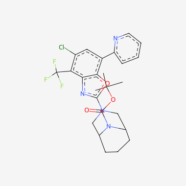 CC(C)(C)OC(=O)N1C2CCCC1CN(c1nc3c(C(F)(F)F)c(Cl)cc(-c4ccccn4)c3o1)C2